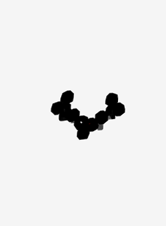 CC1CCC(c2ccc(C3C=C(c4ccccc4)C4C=CC=CC4N3C)cc2)CCC1C1(c2ccc(-c3ccc(-c4cc(-c5ccccc5)c5c(n4)CCC=C5)cc3)cc2)CCCCC1